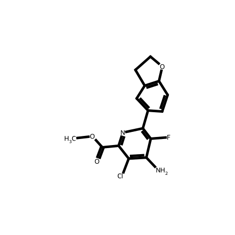 COC(=O)c1nc(-c2ccc3c(c2)CCO3)c(F)c(N)c1Cl